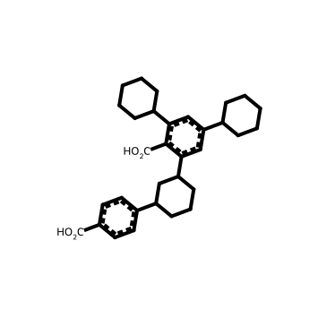 O=C(O)c1ccc(C2CCCC(c3cc(C4CCCCC4)cc(C4CCCCC4)c3C(=O)O)C2)cc1